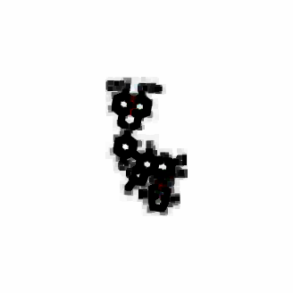 COc1ccc(CN(Cc2ccc(OC)cc2)c2ccc(C(F)(F)F)c(-c3c(F)c4nc(Cl)nc(N5C[C@H]6CC[C@@H](C5)N6C(=O)OC(C)(C)C)c4c4cc(C)oc34)c2)cc1